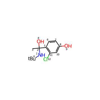 CC(C)(C)NC(C)(O)c1ccc(O)cc1Cl